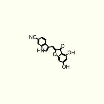 N#Cc1ccc2c(C=C3Oc4cc(O)cc(O)c4C3=O)c[nH]c2c1